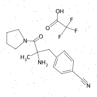 CC(N)(Cc1ccc(C#N)cc1)C(=O)N1CCCC1.O=C(O)C(F)(F)F